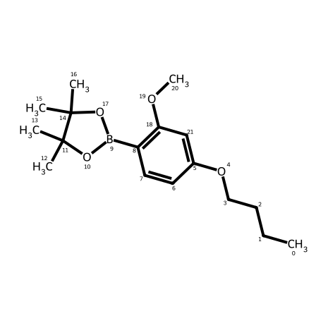 CCCCOc1ccc(B2OC(C)(C)C(C)(C)O2)c(OC)c1